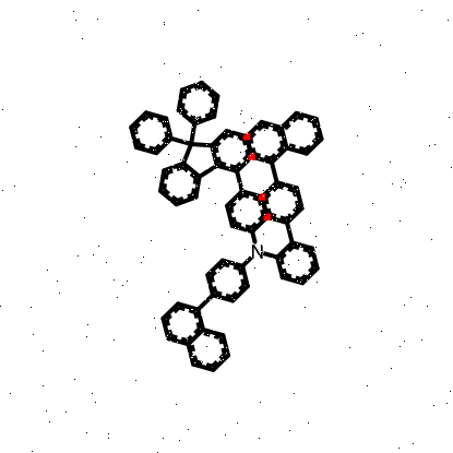 c1ccc(C2(c3ccccc3)c3ccccc3-c3c(-c4ccc(N(c5ccc(-c6cccc7ccccc67)cc5)c5ccccc5-c5ccc(-c6cccc7ccccc67)cc5)cc4)cccc32)cc1